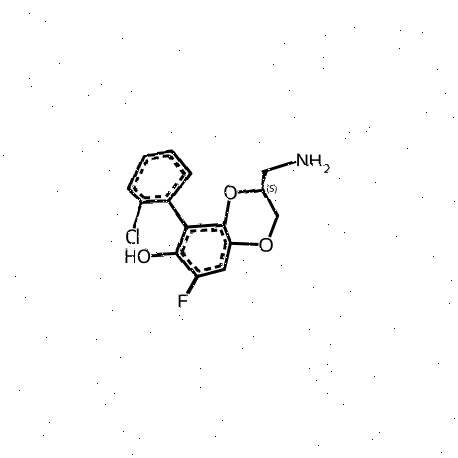 NC[C@H]1COc2cc(F)c(O)c(-c3ccccc3Cl)c2O1